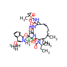 [2H]C([2H])([2H])Oc1cnc(O[C@]2(C)C[C@H]3C(=O)NC4(C(=O)NS(=O)(=O)C5(C)CC5)CC4/C=C\CC[C@@H](C)C[C@@H](C)[C@H](N(C(=O)O)C(C)CC)C(=O)N3C2(F)F)c2ccccc12